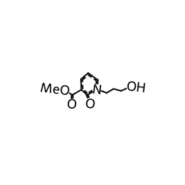 COC(=O)c1cccn(CCCO)c1=O